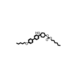 CCCCCCOC(=O)OC1CCC(O)(c2ccc(-c3ccc(OCCCCC)cc3)cc2)CC1